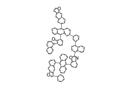 c1ccc(-c2coc3cc4cccc(-c5c6ccccc6c(-c6cccc7nc(-c8ccc(-c9cccc(-c%10ccc%11c(-c%12ccc%13cc%14occc%14cc%13c%12)c%12ccccc%12c(-c%12cccc%13c%12oc%12ccc%14ccccc%14c%12%13)c%11c%10)c9)c9ccccc89)oc67)c6ccccc56)c4cc23)cc1